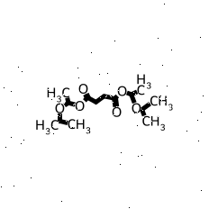 CC(C)OC(C)OC(=O)CCC(=O)OC(C)OC(C)C